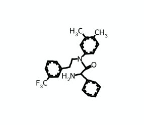 Cc1ccc(N(CCc2cccc(C(F)(F)F)c2)C(=O)C(N)c2ccccc2)cc1C